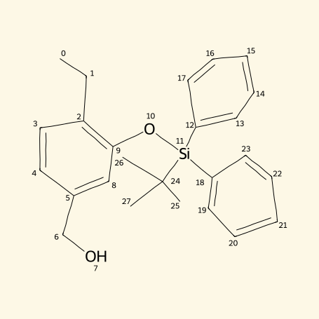 CCc1ccc(CO)cc1O[Si](c1ccccc1)(c1ccccc1)C(C)(C)C